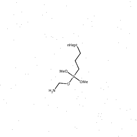 CCCCCCCCCC[Si](OC)(OC)OCN